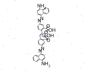 Nc1ccc(N=Nc2ccc(/C=C/c3ccc(N=Nc4ccc(N)c5ccccc45)cc3S(=O)(=O)O)c(S(=O)(=O)O)c2)c2ccccc12